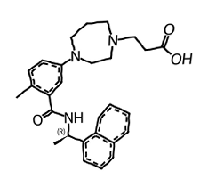 Cc1ccc(N2CCCN(CCC(=O)O)CC2)cc1C(=O)N[C@H](C)c1cccc2ccccc12